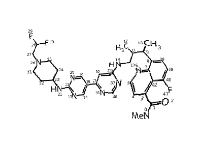 CNC(=O)c1ccnc2c(C(C)C(C)CNc3cc(-c4cnc(NC5CCN(CC(F)F)CC5)nc4)ncn3)ccc(F)c12